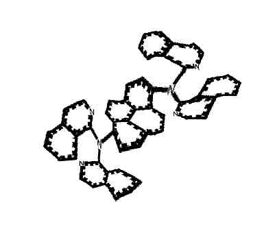 c1ccc2c(N(c3nccc4ccccc34)c3ccc4ccc5c(N(c6nccc7ccccc67)c6nccc7ccccc67)ccc6ccc3c4c65)nccc2c1